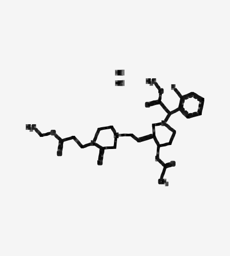 CCOC(=O)CCN1CCN(C/C=C2\CN(C(C(=O)OC)c3ccccc3F)CCC2SC(C)=O)CC1=O.Cl.Cl